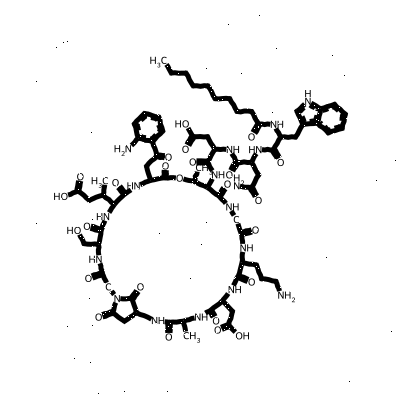 CCCCCCCCCC(=O)NC(Cc1c[nH]c2ccccc12)C(=O)NC(CC(N)=O)C(=O)NC(CC(=O)O)C(=O)NC1C(=O)NCC(=O)NC(CCCN)C(=O)NC(CC(=O)O)C(=O)NC(C)C(=O)NC2CC(=O)N(CC(=O)NC(CO)C(=O)NC(C(C)CC(=O)O)C(=O)NC(CC(=O)c3ccccc3N)C(=O)OC1C)C2=O